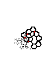 C[Si]1(C)O[SiH2]O[SiH](C(CC(c2cccc3ccccc23)(c2cccc3ccccc23)c2cccc3ccccc23)c2cccc3ccccc23)O[Si](C)(C)O1